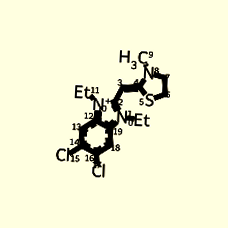 CCn1c(C=C2SCCN2C)[n+](CC)c2cc(Cl)c(Cl)cc21